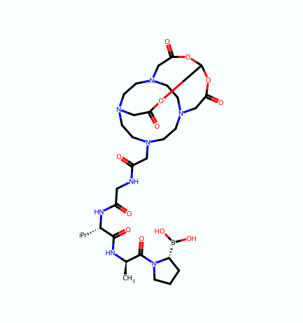 CC(C)[C@H](NC(=O)CNC(=O)CN1CCN2CCN3CCN(CC1)CC(=O)OC(OC(=O)C2)OC(=O)C3)C(=O)N[C@H](C)C(=O)N1CCC[C@H]1B(O)O